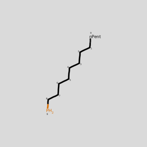 CCCCCCCCCCCCCP